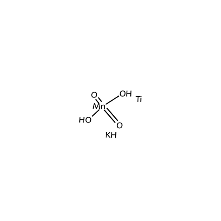 [KH].[O]=[Mn](=[O])([OH])[OH].[Ti]